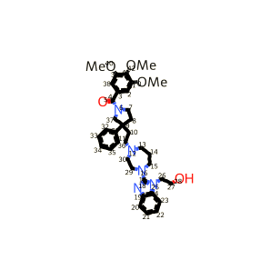 COc1cc(C(=O)N2CCC(CCN3CCCN(c4nc5ccccc5n4CCO)CC3)(c3ccccc3)C2)cc(OC)c1OC